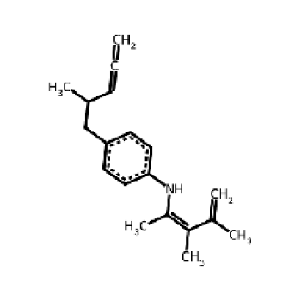 C=C=CC(C)Cc1ccc(N/C(C)=C(/C)C(=C)C)cc1